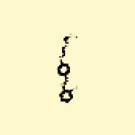 C=COCCOc1ccc(N=Nc2ccccc2Cl)cc1